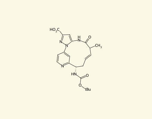 CC1/C=C/C[C@H](NC(=O)OC(C)(C)C)c2cc(ccn2)-n2nc(C(=O)O)cc2NC1=O